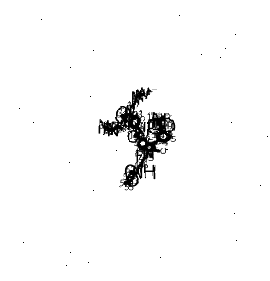 Cc1c(-c2cccc(S(=O)(=O)N(C)C)c2)c2cc(C(=O)Nc3ccc4c(c3)n(CCN=[N+]=[N-])c(=O)n4CCN=[N+]=[N-])ccc2n1C/C(F)=C/CNC(=O)OC(C)(C)C